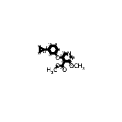 COC(=O)c1c(Oc2cccc(C3CC3)c2)cnnc1OC